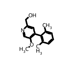 COc1cnc(CO)cc1-c1c(C)cccc1C